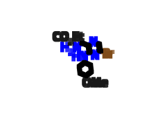 CCOC(=O)C(N)c1ncc(Br)nc1N[C@H]1CC[C@H](OC)CC1